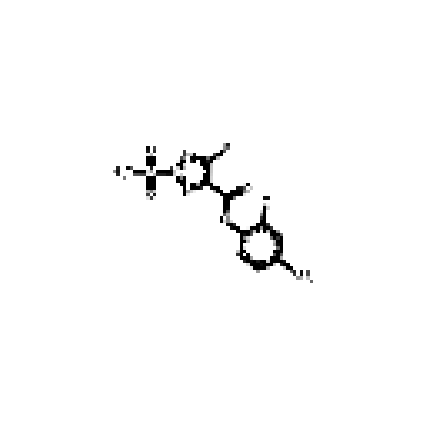 Cc1ccc(NC(=O)c2nn(S(C)(=O)=O)nc2F)c(Cl)c1